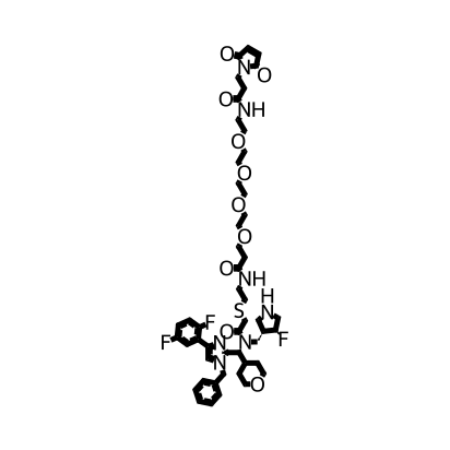 O=C(CCOCCOCCOCCOCCNC(=O)CCN1C(=O)C=CC1=O)NCCSCC(=O)N(C[C@@H]1CNC[C@@H]1F)[C@@H](c1nc(-c2cc(F)ccc2F)cn1Cc1ccccc1)C1CCOCC1